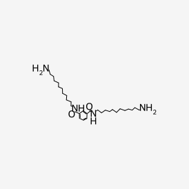 NCCCCCCCCCCCCNC(=O)c1cccc(C(=O)NCCCCCCCCCCCCN)c1